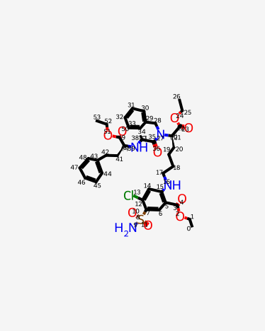 CCOC(=O)c1cc(S(N)(=O)=O)c(Cl)cc1NCCCC[C@H](C(=O)OCC)N(Cc1ccccc1)C(=O)[C@H](C)N[C@@H](CCc1ccccc1)C(=O)OCC